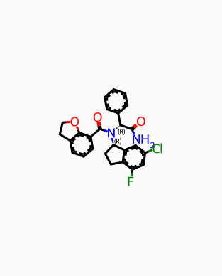 NC(=O)[C@@H](c1ccccc1)N(C(=O)c1cccc2c1OCC2)[C@@H]1CCc2c(F)cc(Cl)cc21